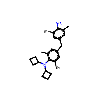 Cc1cc(Cc2cc(C)c(N(C3CCC3)C3CCC3)c(C(C)C)c2)cc(C(C)C)c1N